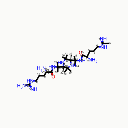 CC(=N)NCCC[C@H](N)C(=O)NC(C)(C)[C@]1(C)NC(C)(C)[C@](C)(C(C)(C)NC(=O)[C@@H](N)CCCNC(=N)N)NC1(C)C